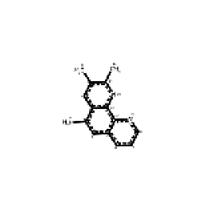 Cc1cc2c(P)cc3cccnc3c2nc1C